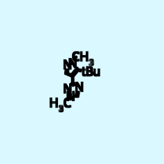 Cn1cnc(-c2cnn(C)c2C(C)(C)C)n1